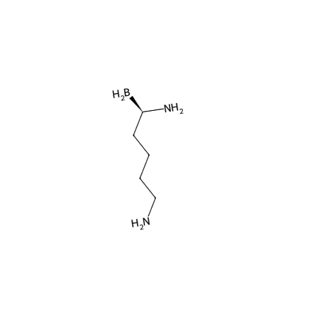 B[C@@H](N)CCCCN